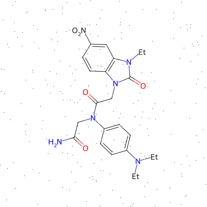 CCN(CC)c1ccc(N(CC(N)=O)C(=O)Cn2c(=O)n(CC)c3cc([N+](=O)[O-])ccc32)cc1